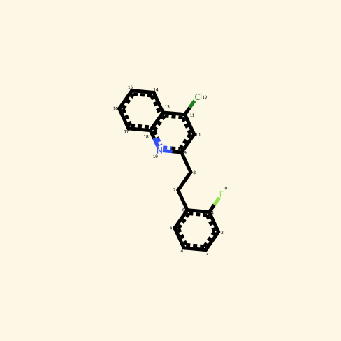 Fc1ccccc1CCc1cc(Cl)c2ccccc2n1